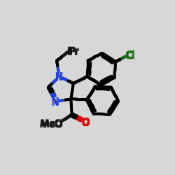 COC(=O)C1(c2ccccc2)N=CN(CC(C)C)C1c1ccc(Cl)cc1